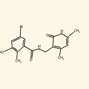 Cc1cc(C)c(CNC(=O)c2cc(Br)cc(O)c2C)c(=O)[nH]1